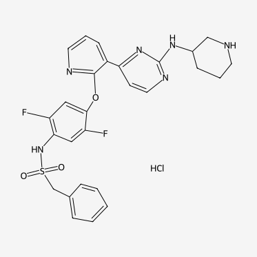 Cl.O=S(=O)(Cc1ccccc1)Nc1cc(F)c(Oc2ncccc2-c2ccnc(NC3CCCNC3)n2)cc1F